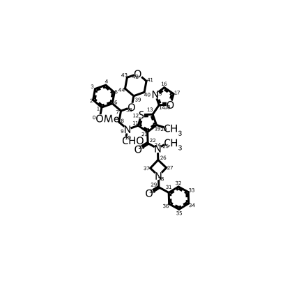 COc1ccccc1C(CN(C=O)c1sc(-c2ncco2)c(C)c1C(=O)N(C)C1CN(C(=O)c2ccccc2)C1)OC1CCOCC1